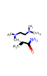 C=CC(N)=O.CN(C)CCN(C)C